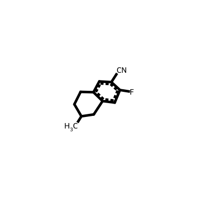 CC1CCc2cc(C#N)c(F)cc2C1